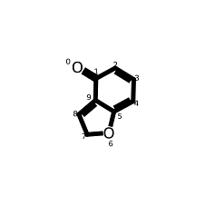 O=C1C=CC=C2OCC=C12